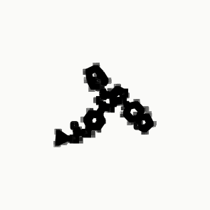 O=C(Nc1ccc(-c2nc(N3CC4CCC(C3)O4)c3cnn(C4CCC5(CCCO5)CC4)c3n2)cc1)NC1CC1